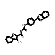 Cc1c(C(=O)NC(=S)Nc2ccc(-c3nc4ccccc4s3)cc2)oc2ccccc12